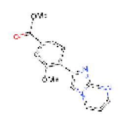 COC(=O)c1ccc(-c2cn3cccnc3n2)c(OC)c1